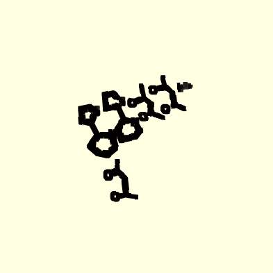 CC(=O)/C=C(/C)[O-].CC(=O)/C=C(/C)[O-].CC(=O)/C=C(/C)[O-].[Ir+3].c1ccc(-c2cccs2)nc1.c1ccc(-c2cccs2)nc1